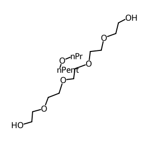 CCCCCOCCC.OCCOCCOCCOCCOCCO